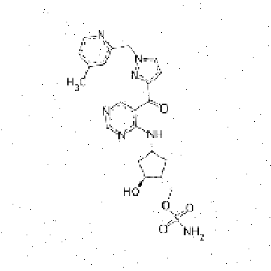 Cc1ccnc(Cn2ccc(C(=O)c3cncnc3N[C@@H]3C[C@H](COS(N)(=O)=O)[C@@H](O)C3)n2)c1